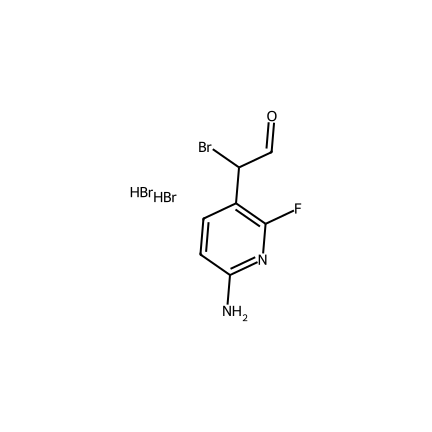 Br.Br.Nc1ccc(C(Br)C=O)c(F)n1